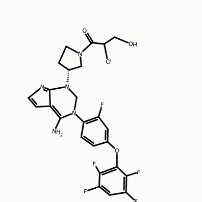 NC1=C2C=CN=C2N([C@@H]2CCN(C(=O)C(Cl)CO)C2)CN1c1ccc(Oc2c(F)c(F)cc(F)c2F)cc1F